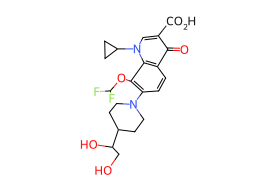 O=C(O)c1cn(C2CC2)c2c(OC(F)F)c(N3CCC(C(O)CO)CC3)ccc2c1=O